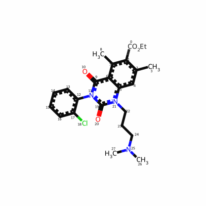 CCOC(=O)c1c(C)cc2c(c1C)c(=O)n(-c1ccccc1Cl)c(=O)n2CCCN(C)C